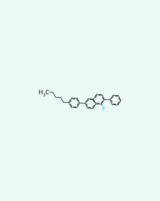 CCCCCc1ccc(-c2ccc3c(F)c(-c4ccccc4)ccc3c2)cc1